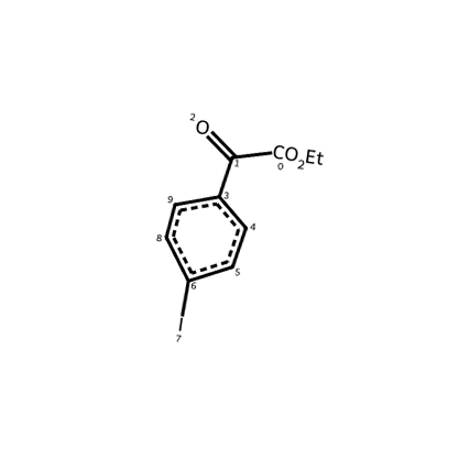 CCOC(=O)C(=O)c1ccc(I)cc1